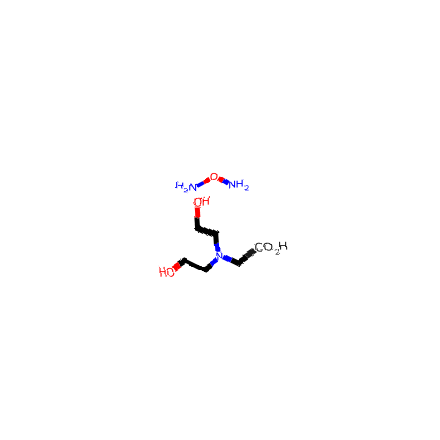 NON.O=C(O)CN(CCO)CCO